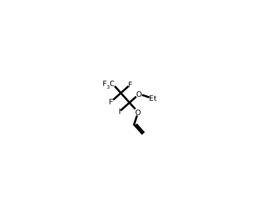 C=COC(I)(OCC)C(F)(F)C(F)(F)F